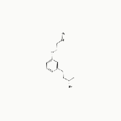 CC(C)[C@@H](C)CCc1cccc(OCCNC(C)(C)C)c1